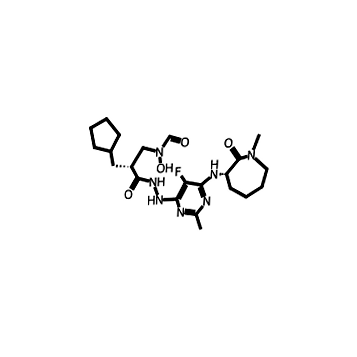 Cc1nc(NNC(=O)[C@H](CC2CCCC2)CN(O)C=O)c(F)c(N[C@H]2CCCCN(C)C2=O)n1